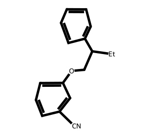 CCC(COc1cccc(C#N)c1)c1ccccc1